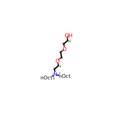 CCCCCCCCN(CCCCCCCC)CCOCCOCCO